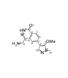 COc1c(-c2ccc3c(=O)[nH]nc(CN)c3c2)cnn1C